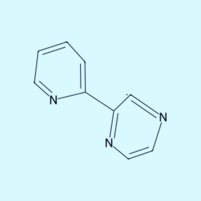 [c]1nccnc1-c1ccccn1